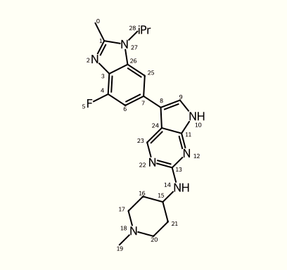 Cc1nc2c(F)cc(-c3c[nH]c4nc(NC5CCN(C)CC5)ncc34)cc2n1C(C)C